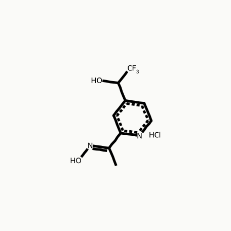 C/C(=N\O)c1cc(C(O)C(F)(F)F)ccn1.Cl